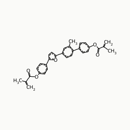 C=C(C)C(=O)Oc1ccc(-c2ccc(-c3ccc(-c4ccc(OC(=O)C(=C)C)cc4)c(C)c3)o2)cc1